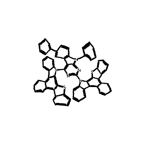 c1ccc(-c2ccc3c(c2)c2c(-n4c5ccccc5c5c6ccccc6c6c7ccccc7sc6c54)nc(-n4c5ccccc5c5c6ccccc6c6c7ccccc7sc6c54)nc2n3-c2ccccc2)cc1